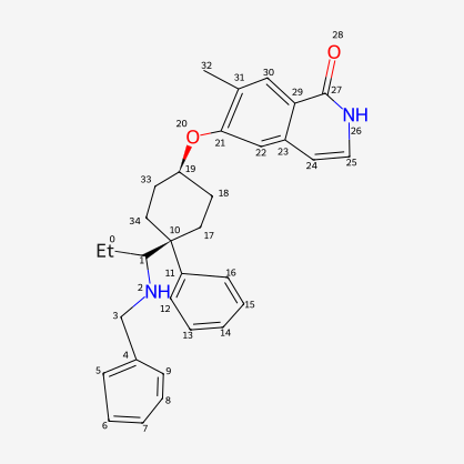 CCC(NCc1ccccc1)[C@]1(c2ccccc2)CC[C@H](Oc2cc3cc[nH]c(=O)c3cc2C)CC1